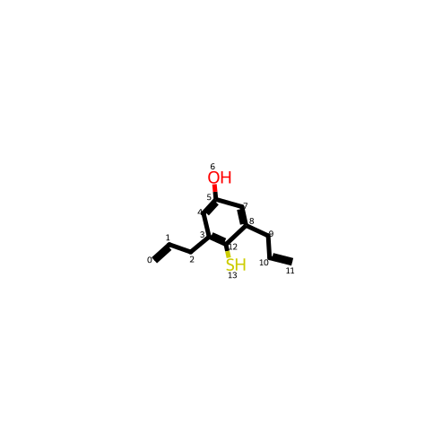 C=CCc1cc(O)cc(CC=C)c1S